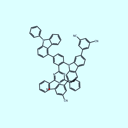 N#Cc1cc(C#N)cc(-c2ccc3c4ccc(-c5cc(C#N)cc(C#N)c5)cc4n(-c4ccc(-c5cccc6c5c5ccccc5n6-c5ccccc5)cc4-c4nc(-c5ccccc5)nc(-c5ccccc5)n4)c3c2)c1